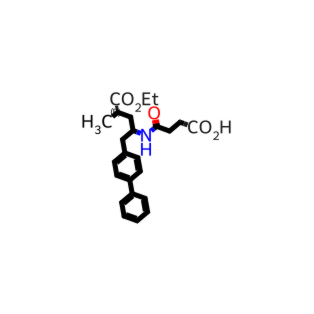 CCOC(=O)[C@H](C)CC(Cc1ccc(-c2ccccc2)cc1)NC(=O)CCC(=O)O